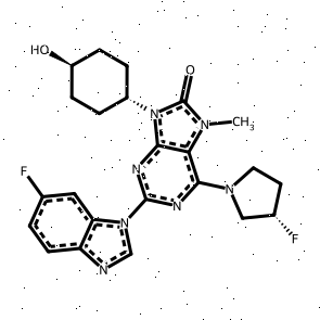 Cn1c(=O)n([C@H]2CC[C@H](O)CC2)c2nc(-n3cnc4ccc(F)cc43)nc(N3CC[C@H](F)C3)c21